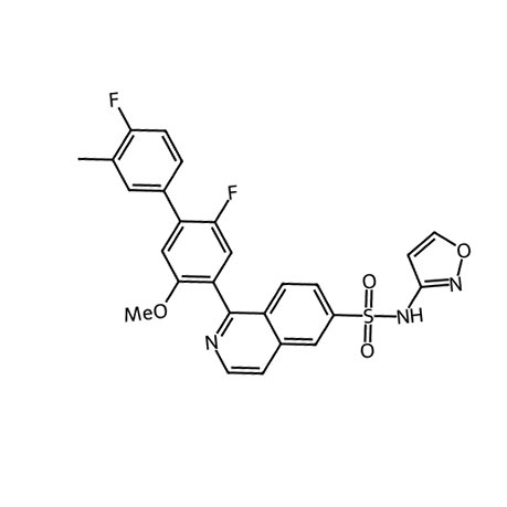 COc1cc(-c2ccc(F)c(C)c2)c(F)cc1-c1nccc2cc(S(=O)(=O)Nc3ccon3)ccc12